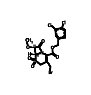 CO[C@H]1C(=O)N2C(C(=O)OCc3ccc(Cl)c(Cl)c3)=C(CBr)CS(=O)(=O)[C@H]12